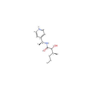 CCC[C@H](C)C(O)C(=O)N[C@@H](C)c1ccncc1